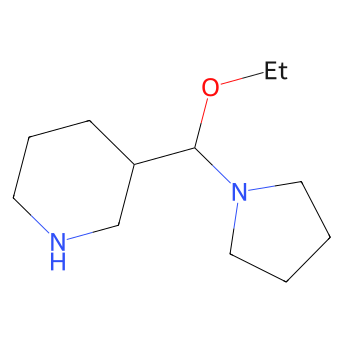 CCOC(C1CCCNC1)N1CCCC1